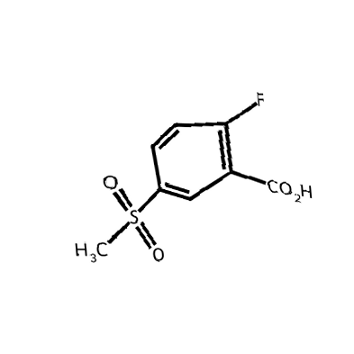 CS(=O)(=O)c1ccc(F)c(C(=O)O)c1